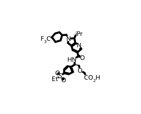 CCS(=O)(=O)c1ccc([C@H](COCC(=O)O)NC(=O)c2cnc3c(c2)CN(CC2CCC(C(F)(F)F)CC2)C3C(C)C)cc1